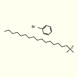 CCCCCCCCCCCCCCCC[N+](C)(C)C.Cc1ccccc1.[Br-]